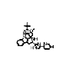 COCC1(c2nnc(C(C)(C)C)o2)N[C@@H](c2nc(-c3ccc(F)cn3)c[nH]2)Cc2c1[nH]c1ccccc21